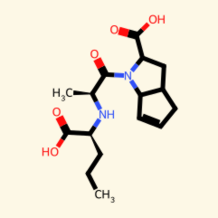 CCC[C@H](N[C@@H](C)C(=O)N1C(C(=O)O)CC2CC=CC21)C(=O)O